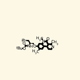 Cc1cc2c3ccnc(C)c3c(=O)n(C)c2cc1OC[C@H](CC(C)C)NC(=O)OC(C)(C)C